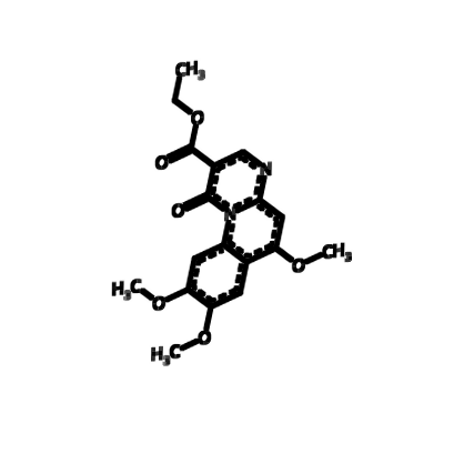 CCOC(=O)c1cnc2cc(OC)c3cc(OC)c(OC)cc3n2c1=O